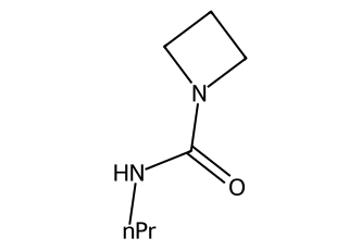 CCCNC(=O)N1CCC1